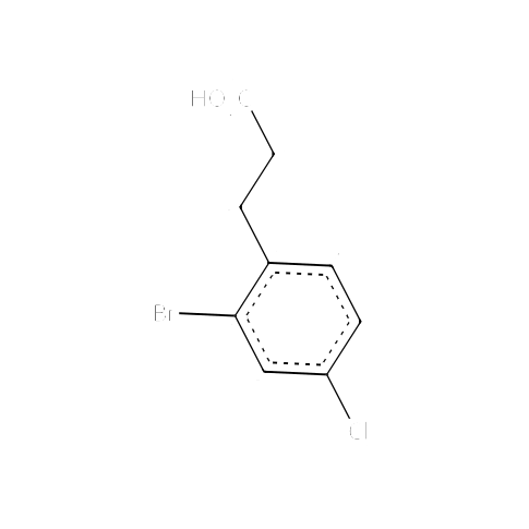 O=C(O)CCc1ccc(Cl)cc1Br